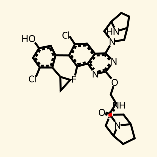 N=S1(=O)CC2CCC(C1)N2CCCOc1nc(N2CC3CCC(C2)N3)c2cc(Cl)c(-c3cc(O)cc(Cl)c3C3CC3)c(F)c2n1